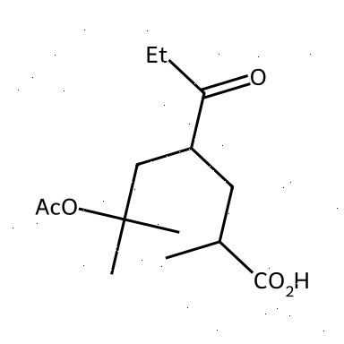 CCC(=O)C(CC(C)C(=O)O)CC(C)(C)OC(C)=O